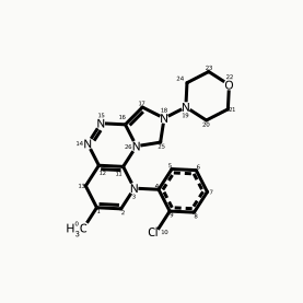 CC1=CN(c2ccccc2Cl)C2=C(C1)N=NC1=CN(N3CCOCC3)CN12